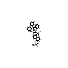 CC(O)(c1c[nH]c(C(c2ccccc2)(c2ccccc2)c2ccccc2)n1)c1cccc2c1OCCC2O[Si](C)(C)C(C)(C)C